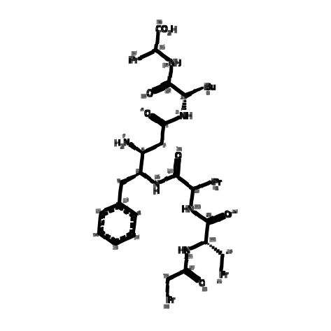 CC[C@H](C)[C@H](NC(=O)C[C@H](N)[C@H](Cc1ccccc1)NC(=O)C(NC(=O)[C@H](CC(C)C)NC(=O)CC(C)C)C(C)C)C(=O)NC(C(=O)O)C(C)C